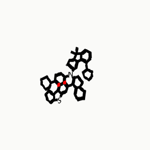 CC1(C)c2ccc(N(c3ccc(C4CCCCC4)cc3)c3ccc4ccccc4c3-c3ccc4c(c3)sc3ccccc34)cc2-c2c(C3CCCCC3)cccc21